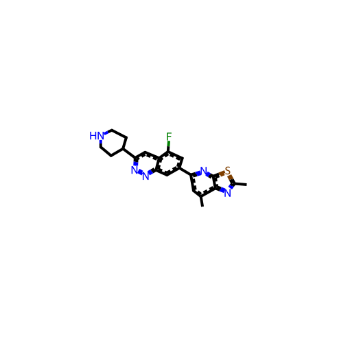 Cc1nc2c(C)cc(-c3cc(F)c4cc(C5CCNCC5)nnc4c3)nc2s1